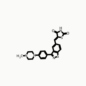 CN1CCN(c2ccc(-c3nsc4ccc(/C=C5\SC(=O)NC5=O)cc34)cc2)CC1